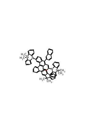 CC1(C)c2ccccc2-c2ccc(-c3ccccc3-c3c4ccc(N5c6ccccc6[Si](C)(C)c6ccccc65)cc4c(-c4ccc5ccccc5c4)c4ccc(N5c6ccccc6[Si](C)(C)c6ccccc65)cc34)cc21